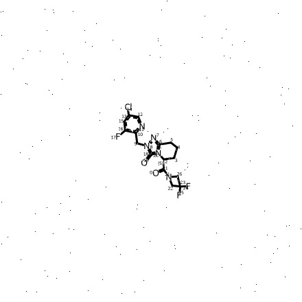 O=C([C@@H]1CCCc2nn(Cc3ncc(Cl)cc3F)c(=O)n21)N1CC(F)(F)C1